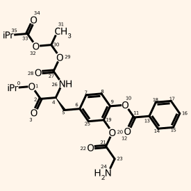 CC(C)OC(=O)[C@H](Cc1ccc(OC(=O)c2ccccc2)c(OC(=O)CN)c1)NC(=O)OC(C)OC(=O)C(C)C